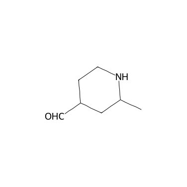 CC1CC(C=O)CCN1